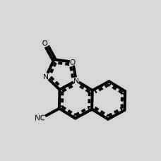 N#Cc1cc2ccccc2n2oc(=O)nc12